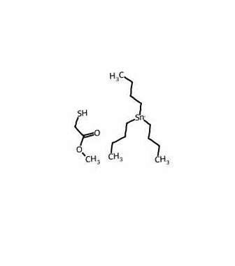 CCC[CH2][Sn]([CH2]CCC)[CH2]CCC.COC(=O)CS